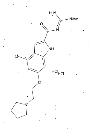 CNC(N)=NC(=O)c1cc2c(Cl)cc(OCCN3CCCC3)cc2[nH]1.Cl.Cl